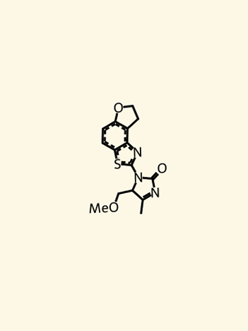 COCC1C(C)=NC(=O)N1c1nc2c3c(ccc2s1)OCC3